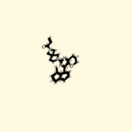 C=CC(=O)N1CC2(CCN(c3nc4c(c(-c5cccc6cccc(C)c56)n3)OCCC4)C2)C1